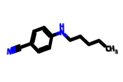 CCCCCNc1ccc(C#N)cc1